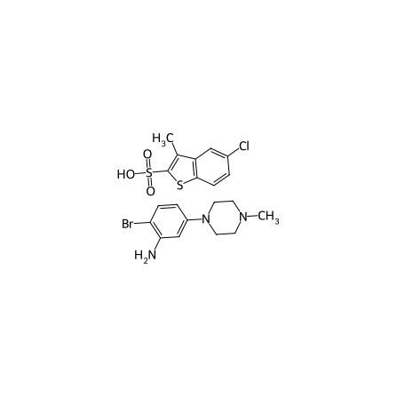 CN1CCN(c2ccc(Br)c(N)c2)CC1.Cc1c(S(=O)(=O)O)sc2ccc(Cl)cc12